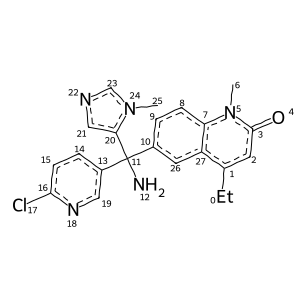 CCc1cc(=O)n(C)c2ccc(C(N)(c3ccc(Cl)nc3)c3cncn3C)cc12